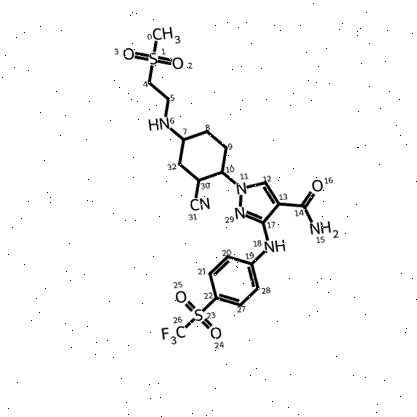 CS(=O)(=O)CCNC1CCC(n2cc(C(N)=O)c(Nc3ccc(S(=O)(=O)C(F)(F)F)cc3)n2)C(C#N)C1